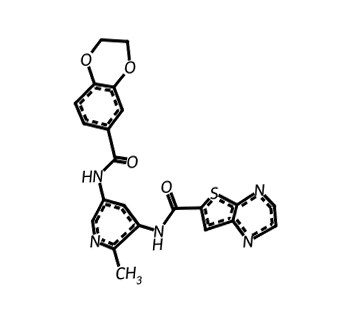 Cc1ncc(NC(=O)c2ccc3c(c2)OCCO3)cc1NC(=O)c1cc2nccnc2s1